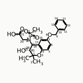 CC1(C)Oc2ccc(OCc3ccccc3)cc2[C@H](N(CC(=O)O)S(C)(=O)=O)[C@H]1O